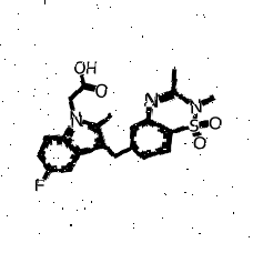 CC1=Nc2cc(Cc3c(C)n(CC(=O)O)c4ccc(F)cc34)ccc2S(=O)(=O)N1C